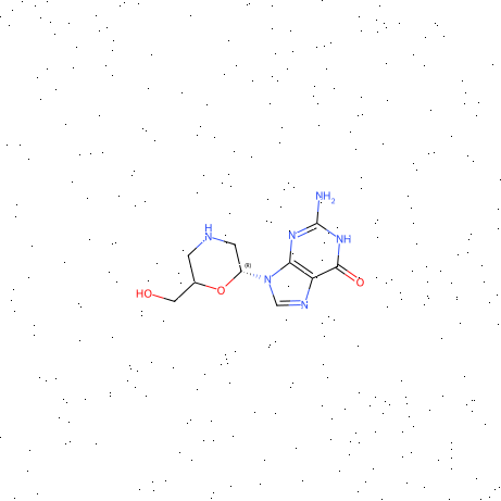 Nc1nc2c(ncn2[C@H]2CNCC(CO)O2)c(=O)[nH]1